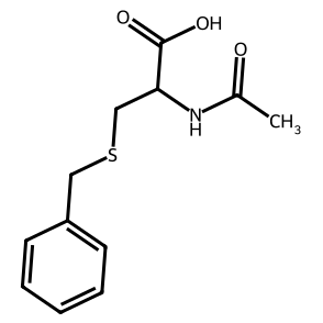 CC(=O)NC(CSCc1ccccc1)C(=O)O